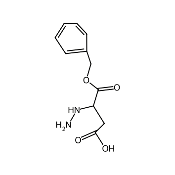 NNC(CC(=O)O)C(=O)OCc1ccccc1